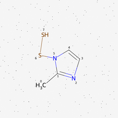 Cc1nccn1SS